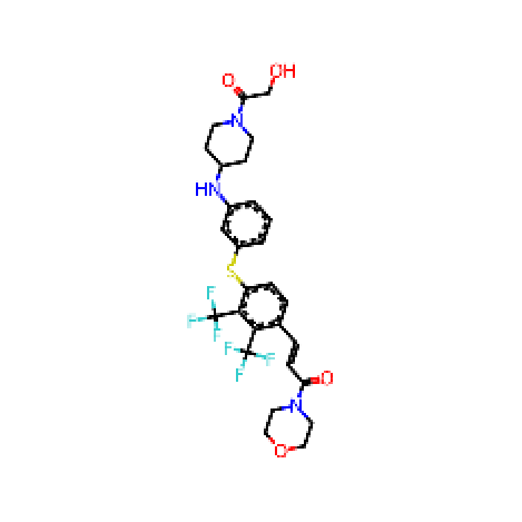 O=C(/C=C/c1ccc(Sc2cccc(NC3CCN(C(=O)CO)CC3)c2)c(C(F)(F)F)c1C(F)(F)F)N1CCOCC1